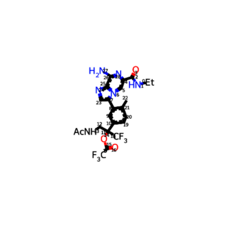 CCNC(=O)c1cn2c(-c3cc(C(CNC(C)=O)(OC(=O)C(F)(F)F)C(F)(F)F)ccc3C)cnc2c(N)n1